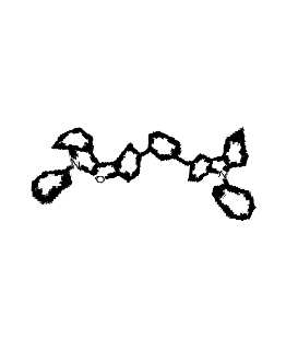 c1ccc(-n2c3ccccc3c3cc(-c4cccc(-c5ccc6oc7c(c6c5)c5ccccc5n7-c5ccccc5)c4)ccc32)cc1